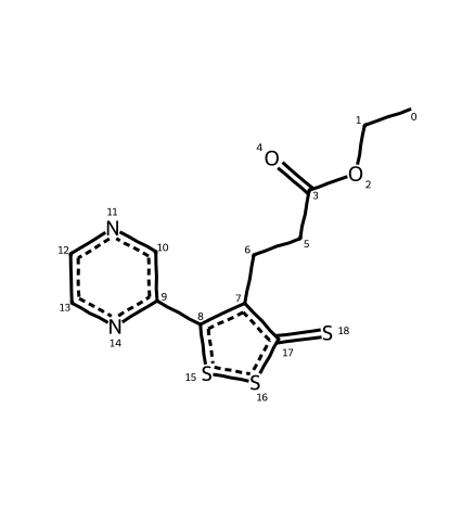 CCOC(=O)CCc1c(-c2cnccn2)ssc1=S